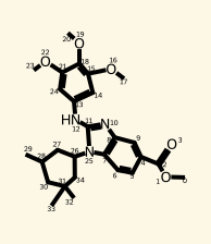 COC(=O)c1ccc2c(c1)nc(Nc1cc(OC)c(OC)c(OC)c1)n2C1CC(C)CC(C)(C)C1